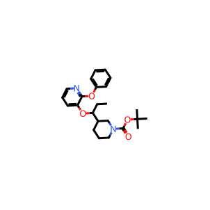 CCC(Oc1cccnc1Oc1ccccc1)C1CCCN(C(=O)OC(C)(C)C)C1